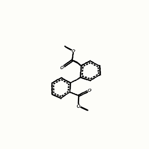 COC(=O)c1[c]cccc1-c1ccccc1C(=O)OC